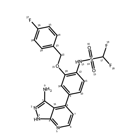 Nc1n[nH]c2nccc(-c3ccc(NS(=O)(=O)C(F)F)c(OCc4ccc(F)cc4)c3)c12